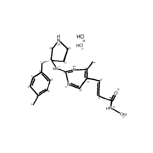 Cc1ccc(C[C@@]2(Nc3ncc(/C=C/C(=O)NO)c(C)n3)CCNC2)cc1.Cl.Cl